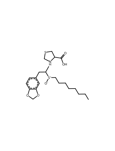 CCCCCCCC[S+]([O-])C(C)Cc1ccc2c(c1)OCO2.O=C(O)C1CSCN1